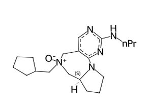 CCCNc1ncc2c(n1)N1CCC[C@H]1C[N+]([O-])(CC1CCCC1)C2